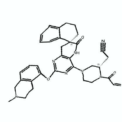 C=CC(=O)N1CCN(c2nc(Oc3cccc4c3CCN(C)C4)nc3c2NC(=O)[C@@]2(CCCc4ccccc42)C3)C[C@@H]1CC#N